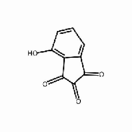 O=c1c(=O)c2cccc(O)c2c1=O